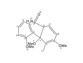 COC1=C(C)C(OC)(c2ccccc2OC)C(C(N)=O)C=C1